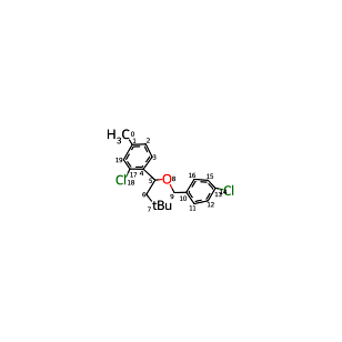 Cc1ccc(C(CC(C)(C)C)OCc2ccc(Cl)cc2)c(Cl)c1